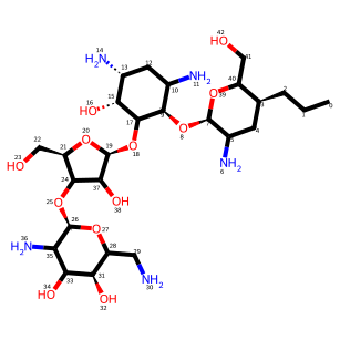 CCC[C@H]1CC(N)[C@@H](O[C@@H]2C(N)C[C@@H](N)[C@@H](O)C2O[C@@H]2O[C@H](CO)C(O[C@H]3OC(CN)[C@@H](O)C(O)C3N)C2O)OC1CO